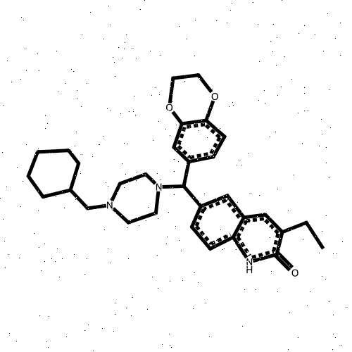 CCc1cc2cc(C(c3ccc4c(c3)OCCO4)N3CCN(CC4CCCCC4)CC3)ccc2[nH]c1=O